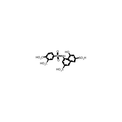 O=C(O)c1ccc(S(=O)(=O)Nc2cc(S(=O)(=O)O)cc3cc(S(=O)(=O)O)cc(O)c23)cc1C(=O)O